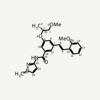 COC[C@H](C)Oc1cc(C=Cc2ccccc2OC)cc(C(=O)Nc2ccn(C)n2)c1